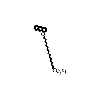 CCOC(=O)CCCCCCCCCCCCCCCCCCOc1cccc2cc3ccccc3cc12